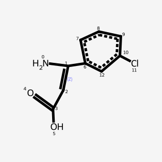 N/C(=C\C(=O)O)c1cccc(Cl)c1